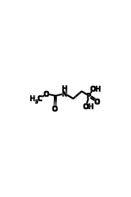 COC(=O)NCCP(=O)(O)O